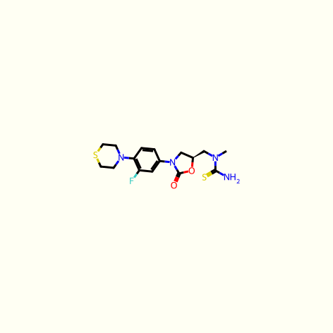 CN(C[C@@H]1CN(c2ccc(N3CCSCC3)c(F)c2)C(=O)O1)C(N)=S